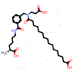 C[C@@H](CCCCNC(=O)c1cccc(CN(CCC(=O)O)C(=O)CCCCCCCCCCCCCCC(=O)O)c1)C(=O)O